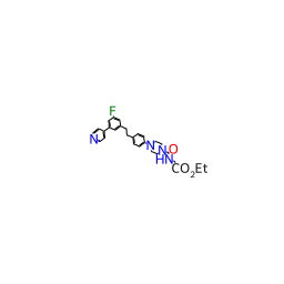 CCOC(=O)CNC(=O)N1CCN(c2ccc(CCc3cc(F)cc(-c4ccncc4)c3)cc2)CC1